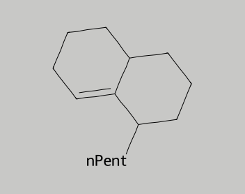 CCCCCC1CCCC2CCCC=C21